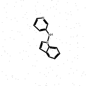 c1cncc(Nn2ccc3ccccc32)c1